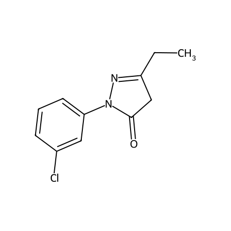 CCC1=NN(c2cccc(Cl)c2)C(=O)C1